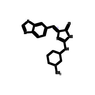 CN1CCCC(NC2=N/C(=C\c3ccc4ncsc4c3)C(=O)N2)C1